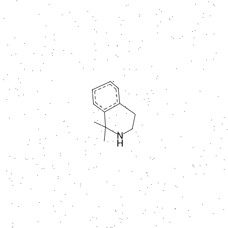 CC1(C)NCCc2c[c]ccc21